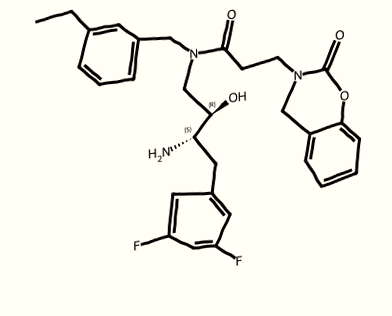 CCc1cccc(CN(C[C@@H](O)[C@@H](N)Cc2cc(F)cc(F)c2)C(=O)CCN2Cc3ccccc3OC2=O)c1